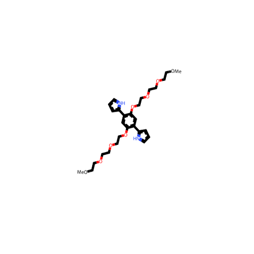 COCCOCCOCCOc1cc(-c2ccc[nH]2)c(OCCOCCOCCOC)cc1-c1ccc[nH]1